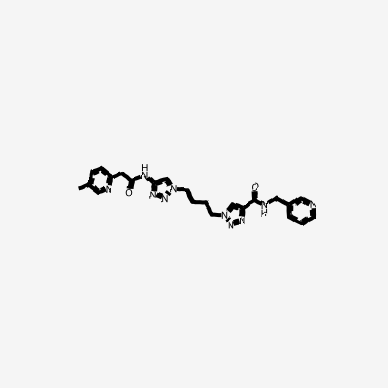 Cc1ccc(CC(=O)Nc2cn(CCCCn3cc(C(=O)NCc4cccnc4)nn3)nn2)nc1